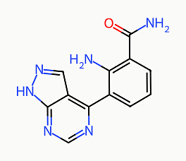 NC(=O)c1cccc(-c2ncnc3[nH]ncc23)c1N